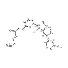 COCCOC(=O)COc1cccc(NC(=O)c2cc(C3=CCCC(F)=C3)ccc2F)c1